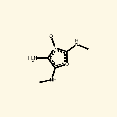 CNc1oc(NC)[n+]([O-])c1N